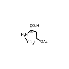 CC(=O)O.CC(=O)OCC[C@H](N)C(=O)O